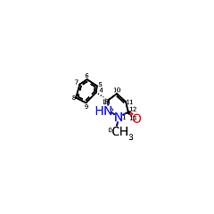 CN1N[C@H](c2ccccc2)C=CC1=O